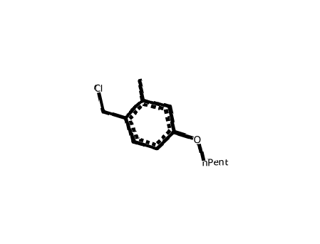 CCCCCOc1ccc(CCl)c(C)c1